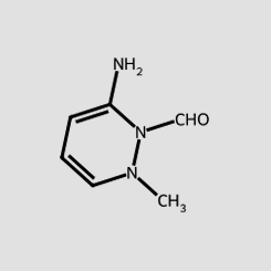 CN1C=CC=C(N)N1C=O